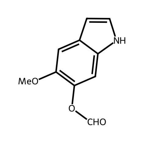 COc1cc2cc[nH]c2cc1OC=O